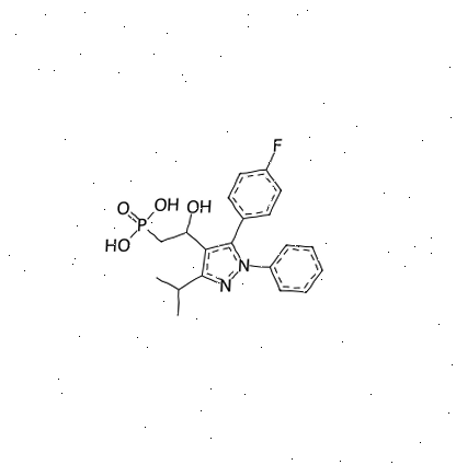 CC(C)c1nn(-c2ccccc2)c(-c2ccc(F)cc2)c1C(O)CP(=O)(O)O